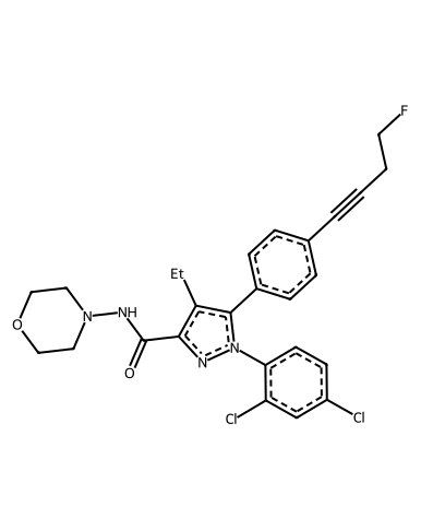 CCc1c(C(=O)NN2CCOCC2)nn(-c2ccc(Cl)cc2Cl)c1-c1ccc(C#CCCF)cc1